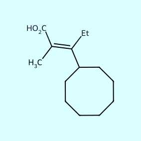 CCC(=C(C)C(=O)O)C1CCCCCCC1